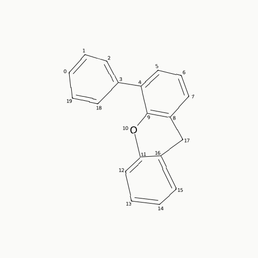 c1ccc(-c2cccc3c2Oc2ccccc2C3)cc1